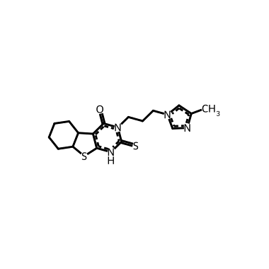 Cc1cn(CCCn2c(=S)[nH]c3c(c2=O)C2CCCCC2S3)cn1